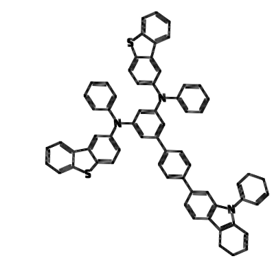 C1=CC(n2c3c(c4ccc(-c5ccc(-c6cc(N(c7ccccc7)c7ccc8sc9ccccc9c8c7)cc(N(c7ccccc7)c7ccc8sc9ccccc9c8c7)c6)cc5)cc42)CCC=C3)=CCC1